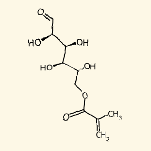 C=C(C)C(=O)OC[C@@H](O)[C@@H](O)[C@H](O)[C@@H](O)C=O